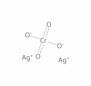 [Ag+].[Ag+].[O]=[Cr](=[O])([O-])[O-]